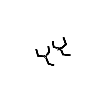 CCN(CC)CC.C[CH2][Al]([CH2]C)[CH2]C